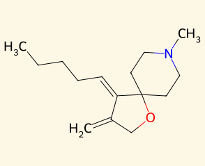 C=C1COC2(CCN(C)CC2)C1=CCCCC